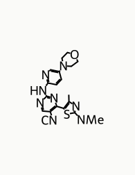 CNc1nc(C)c(-c2nc(Nc3ccc(N4CCOCC4)cn3)ncc2C#N)s1